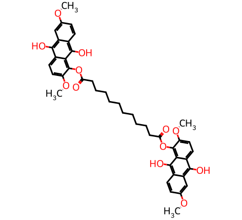 COc1ccc2c(O)c3c(OC(=O)CCCCCCCCCCC(=O)Oc4c(OC)ccc5c(O)c6cc(OC)ccc6c(O)c45)c(OC)ccc3c(O)c2c1